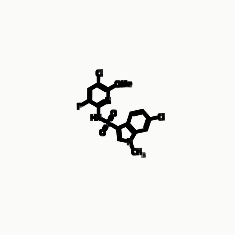 COc1nc(NS(=O)(=O)c2cn(C)c3cc(Cl)ccc23)c(F)cc1Cl